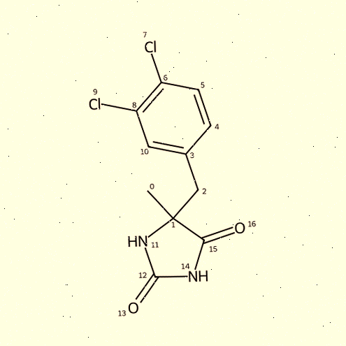 CC1(Cc2ccc(Cl)c(Cl)c2)NC(=O)NC1=O